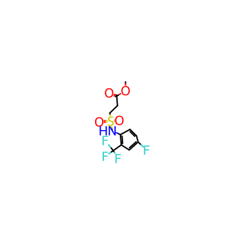 COC(=O)CCS(=O)(=O)Nc1ccc(F)cc1C(F)(F)F